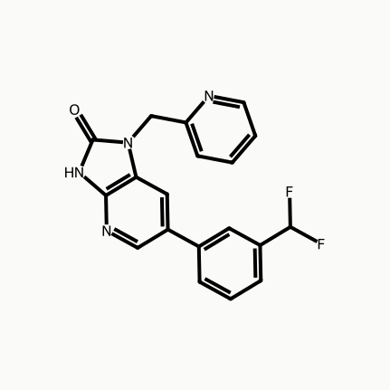 O=c1[nH]c2ncc(-c3cccc(C(F)F)c3)cc2n1Cc1ccccn1